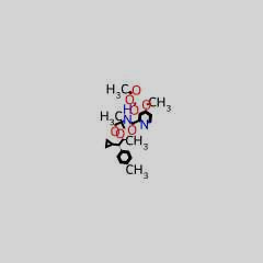 COc1ccnc(C(=O)N[C@](C)(C=O)CO[C@@H](C)[C@H](c2ccc(C)cc2)C2CC2)c1OCOC(C)=O